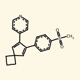 CS(=O)(=O)c1ccc(C2=CC3(C=C2c2ccncc2)CCC3)cc1